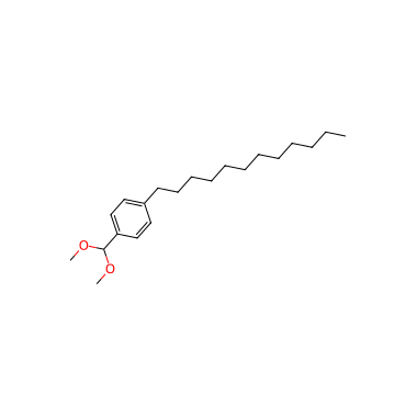 CCCCCCCCCCCCc1ccc(C(OC)OC)cc1